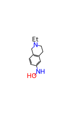 CCN1CCc2cc(NO)ccc2C1